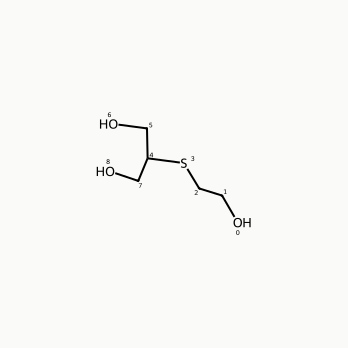 OCCSC(CO)CO